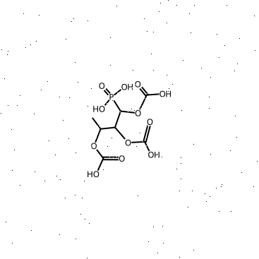 CC(OC(=O)O)C(OC(=O)O)C(OC(=O)O)P(=O)(O)O